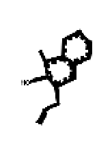 C=CCc1cc2ccccc2c(C)c1O